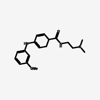 COc1cccc(NC2=CCC(C(=O)NCCN(C)C)C=C2)c1